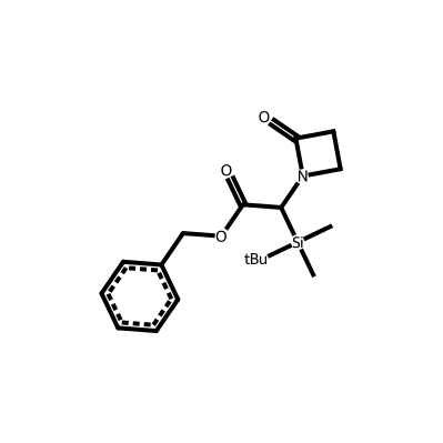 CC(C)(C)[Si](C)(C)C(C(=O)OCc1ccccc1)N1CCC1=O